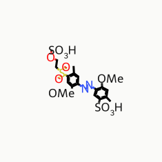 COc1cc(C)c(S(=O)(=O)O)cc1N=Nc1cc(C)c(S(=O)(=O)CCOS(=O)(=O)O)cc1OC